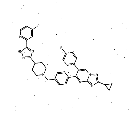 Fc1ccc(-c2cn3nc(C4CC4)nc3nc2-c2ccc(CN3CCC(c4n[nH]c(-c5cc(Cl)ccn5)n4)CC3)cc2)cc1